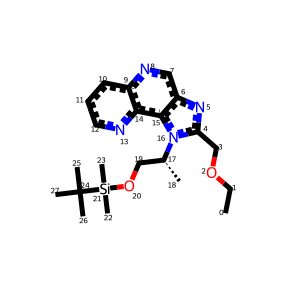 CCOCc1nc2cnc3cccnc3c2n1[C@H](C)CO[Si](C)(C)C(C)(C)C